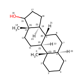 C[C@]12CCCC[C@@H]1CC[C@@H]1[C@@H]2CC[C@]2(C)C(O)CC[C@@H]12